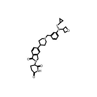 O=C1CCC(N2Cc3cc(C4CCN(Cc5cccc(N(SC6CC6)C6COC6)c5)CC4)ccc3C2=O)C(=O)N1